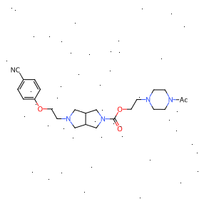 CC(=O)N1CCN(CCOC(=O)N2CC3CN(CCOc4ccc(C#N)cc4)CC3C2)CC1